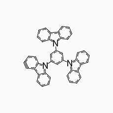 c1ccc2c(c#1)c1ccccc1n2-c1cc(-n2c3ccccc3c3ccccc32)cc(-n2c3ccccc3c3ccccc32)c1